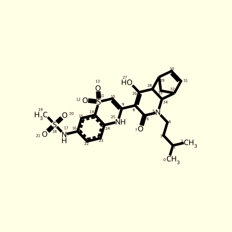 CC(C)CCN1C(=O)C(C2=CS(=O)(=O)c3cc(NS(C)(=O)=O)ccc3N2)=C(O)C2C3C=CC(C3)C21